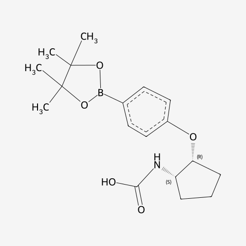 CC1(C)OB(c2ccc(O[C@@H]3CCC[C@@H]3NC(=O)O)cc2)OC1(C)C